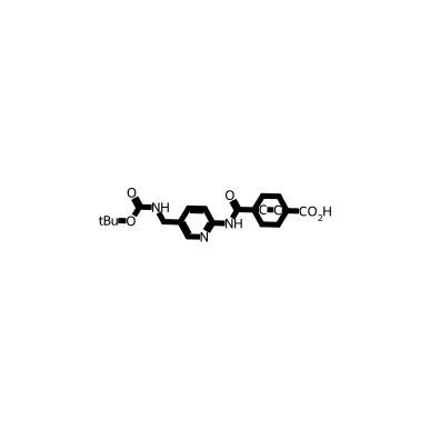 CC(C)(C)OC(=O)NCc1ccc(NC(=O)C23CCC(C(=O)O)(CC2)CC3)nc1